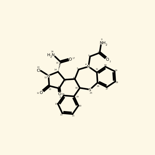 NC(=O)CN1CC(C2C(=O)C(=O)N(Cl)[C@@H]2C(N)=O)C(c2ccccc2)Sc2ccccc21